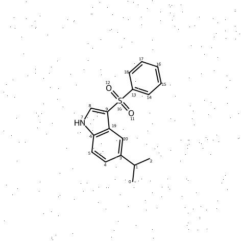 [CH2]C(C)c1ccc2[nH]cc(S(=O)(=O)c3ccccc3)c2c1